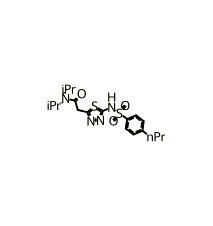 CCCc1ccc(S(=O)(=O)Nc2nnc(CC(=O)N(C(C)C)C(C)C)s2)cc1